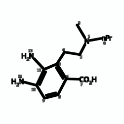 CCCN(C)CCc1c(C(=O)O)ccc(N)c1N